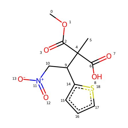 COC(=O)C(C)(C(=O)O)C(C[N+](=O)[O-])c1cccs1